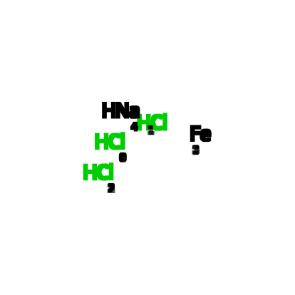 Cl.Cl.Cl.[Fe].[NaH]